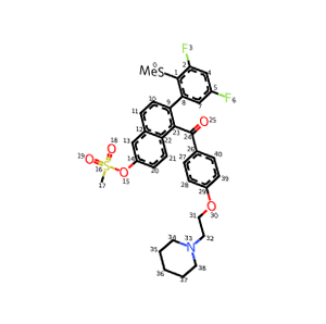 CSc1c(F)cc(F)cc1-c1ccc2cc(OS(C)(=O)=O)ccc2c1C(=O)c1ccc(OCCN2CCCCC2)cc1